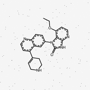 CCOc1ccnc2[nH]c(=O)n(-c3ccc4nccc(C5=CCNCC5)c4c3)c12